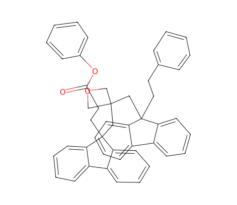 O=C(CCC1(CC2(CC3(CCc4ccccc4)c4ccccc4-c4ccccc43)COC2)c2ccccc2-c2ccccc21)Oc1ccccc1